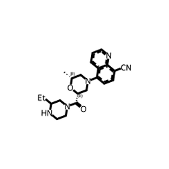 CCC1CN(C(=O)[C@H]2CN(c3ccc(C#N)c4ncccc34)C[C@@H](C)O2)CCN1